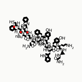 CCCC[C@@H](C(=O)N(C)CC(=O)N[C@@H](CC(N)=O)C(=O)N[C@H](C(=O)N(C)[C@@H](Cc1ccccc1)C(=O)N[C@@H](Cc1ccc(O)cc1)C(=O)N(C)CC(=O)N[C@@H](Cc1c[nH]c2ccccc12)C(=O)N[C@@H](Cc1ccc(O)cc1)C(=O)N[C@@H](CCCN)C(=O)N[C@H]1C[C@H]1NCC(N)=O)C(C)C)N(C)C(=O)[C@H](Cc1nc2ccccc2s1)N(C)C(=O)[C@H](Cc1ccccc1)NC(=O)CS